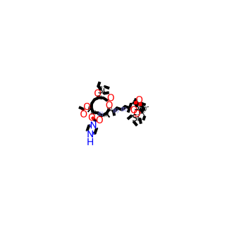 CC[C@H](O[Si](CC)(CC)CC)[C@@H](C)[C@H]1O[C@@H]1CC(C)(/C=C/C=C(\C)[C@H]1OC(=O)C[C@H](O[Si](CC)(CC)CC)CC[C@@](C)(OC(C)=O)[C@@H](OC(=O)N2CCNCC2)/C=C/[C@@H]1C)O[Si](CC)(CC)CC